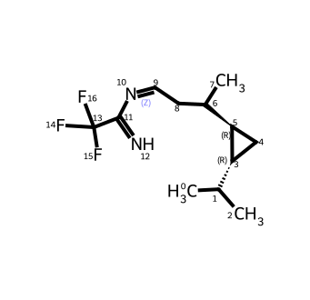 CC(C)[C@H]1C[C@@H]1C(C)C/C=N\C(=N)C(F)(F)F